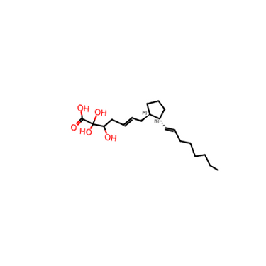 CCCCCCC=C[C@H]1CCC[C@@H]1CC=CCC(O)C(O)(O)C(=O)O